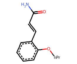 CCCOc1ccccc1C=CC(N)=O